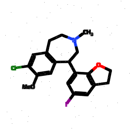 COc1cc2c(cc1Cl)CCN(C)CC2c1cc(I)cc2c1OCC2